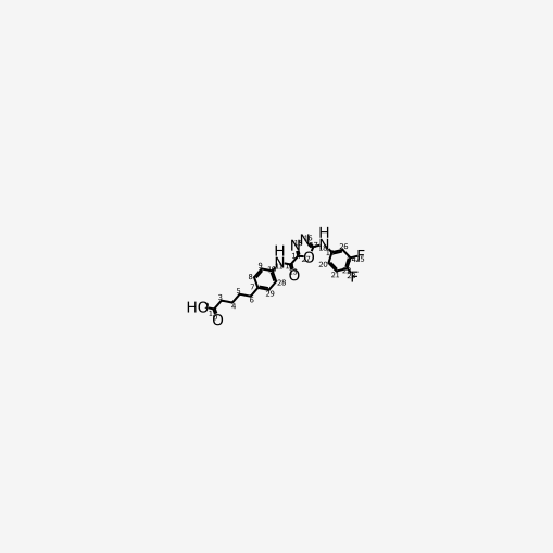 O=C(O)CCCCc1ccc(NC(=O)c2nnc(Nc3ccc(F)c(F)c3)o2)cc1